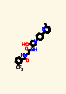 Cc1cccc(C2CCC(N3C[C@H](NC(=O)CNC(=O)c4cccc(C(F)(F)F)c4)[C@@H](O)C3)CC2)n1